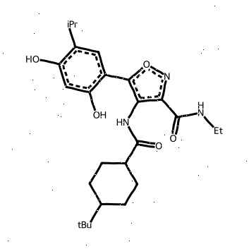 CCNC(=O)c1noc(-c2cc(C(C)C)c(O)cc2O)c1NC(=O)C1CCC(C(C)(C)C)CC1